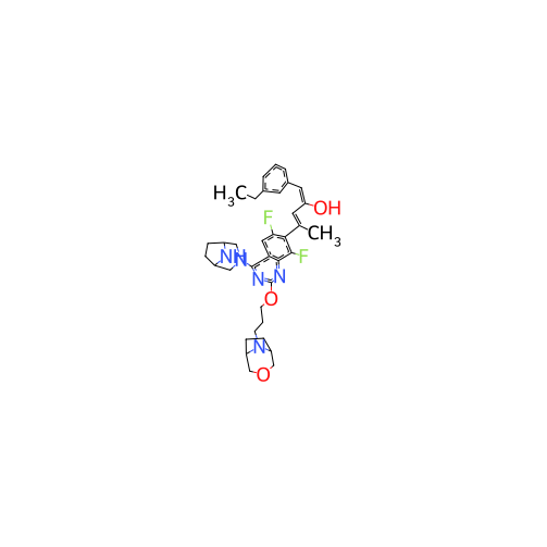 CCc1cccc(/C=C(O)\C=C(/C)c2c(F)cc3c(N4CC5CCC(C4)N5)nc(OCCCN4C5CCC4COC5)nc3c2F)c1